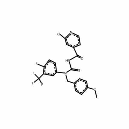 COc1ccc(CN(C(=S)NC(=O)c2ccnc(Cl)c2)c2ccc(F)c(C(F)(F)F)c2)cc1